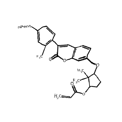 C=CC(=O)OC1CCC(Oc2ccc3cc(-c4ccc(CCCCC)cc4C(F)(F)F)c(=O)oc3c2)C1(C)C(F)(F)F